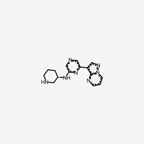 c1cnc2c(-c3cncc(N[C@@H]4CCCNC4)n3)cnn2c1